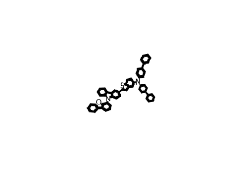 c1ccc(-c2ccc(N(c3ccc(-c4ccccc4)cc3)c3ccc4sc(-c5ccc6c(c5)c5ccccc5n6-c5cccc6c5oc5ccccc56)cc4c3)cc2)cc1